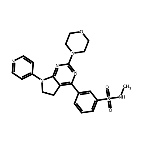 CNS(=O)(=O)c1cccc(-c2nc(N3CCOCC3)nc3c2CCN3c2ccncc2)c1